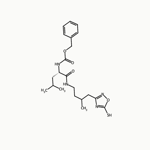 CC(C)C[C@H](NC(=O)OCc1ccccc1)C(=O)NCCC(C)Cc1noc(S)n1